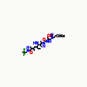 C=C/C(=C\C(C)=C(/C)C(=O)NCC(C)(F)F)C(=N)/C(C)=C(\C)NC(=O)N[C@@H](CO)CNCCOC